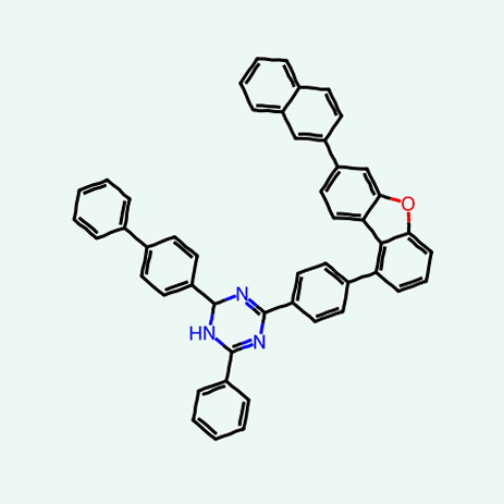 c1ccc(C2=NC(c3ccc(-c4cccc5oc6cc(-c7ccc8ccccc8c7)ccc6c45)cc3)=NC(c3ccc(-c4ccccc4)cc3)N2)cc1